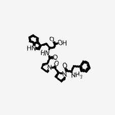 NC(Cc1ccccc1)C(=O)N1CCCC1C(=O)N1CCCC1C(=O)NC(CC(=O)O)Cc1c[nH]c2ccccc12